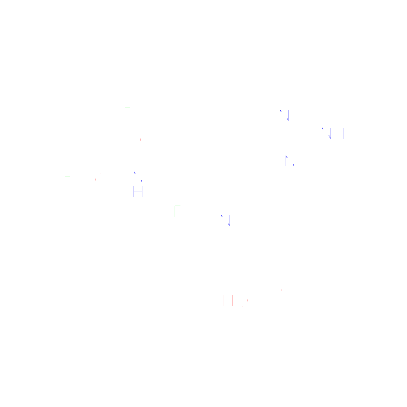 CC(C)(C(=O)O)c1nc(-c2cccc(NS(=O)(=O)c3c(F)cccc3F)c2F)c(-c2ccnc(N)n2)s1